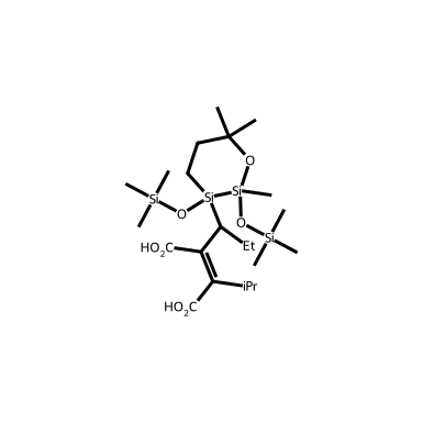 CCC(C(C(=O)O)=C(C(=O)O)C(C)C)[Si]1(O[Si](C)(C)C)CCC(C)(C)O[Si]1(C)O[Si](C)(C)C